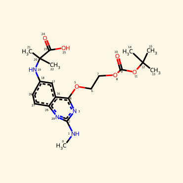 CNc1nc(OCCOC(=O)OC(C)(C)C)c2cc(NC(C)(C)C(=O)O)ccc2n1